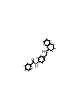 O=C(Nc1ccc(CNC2CCCc3cccnc32)cc1)c1ccccn1